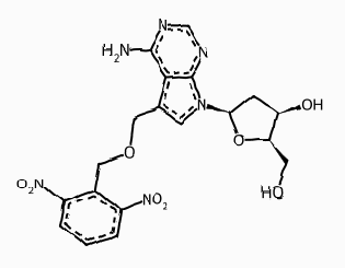 Nc1ncnc2c1c(COCc1c([N+](=O)[O-])cccc1[N+](=O)[O-])cn2[C@H]1C[C@@H](O)[C@@H](CO)O1